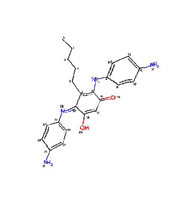 CCCCCC1=C(Nc2ccc(N)cc2)C(=O)C=C(O)C1=Nc1ccc(N)cc1